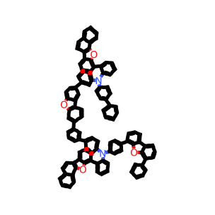 c1ccc(-c2ccc(N(c3cccc(-c4ccc5oc6cc(-c7cccc(-c8ccc(N(c9ccc(-c%10cccc%11c%10oc%10c(-c%12ccccc%12)cccc%10%11)cc9)c9ccccc9-c9cccc%10c9oc9c%11ccccc%11ccc%109)cc8)c7)ccc6c5c4)c3)c3ccccc3-c3cccc4c3oc3c5ccccc5ccc43)cc2)cc1